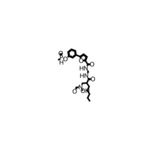 CCCCCC(CN(O)C=O)C(=O)NCNC(=O)c1ccc(-c2cccc(O[PH](C)=O)c2)o1